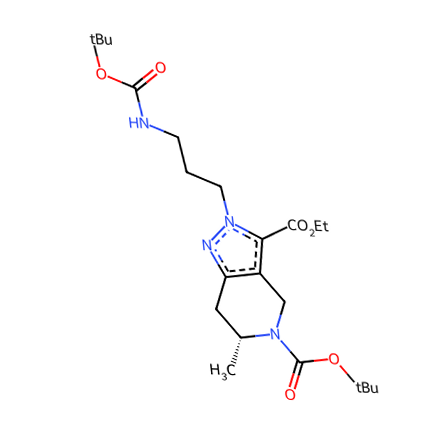 CCOC(=O)c1c2c(nn1CCCNC(=O)OC(C)(C)C)C[C@@H](C)N(C(=O)OC(C)(C)C)C2